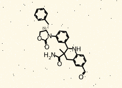 CC1(C(N)=O)Cc2cc([C]=O)ccc2NC1c1cccc(N2C(=O)OC[C@@H]2Cc2ccccc2)c1